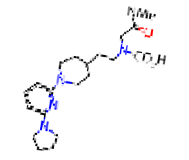 CNC(=O)CN(CCC1CCN(c2cccc(N3CCCC3)n2)CC1)C(=O)O